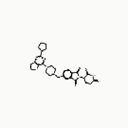 O=C1CCC(N2C(=O)c3ccc(CN4CCN(c5nc(N6CCCC6)nc6c5SCC6)CC4)cc3C2=O)C(=O)N1